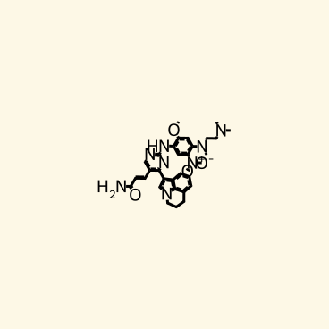 COc1cc(N(C)CCN(C)C)c([N+](=O)[O-])cc1Nc1ncc(C=CC(N)=O)c(-c2cn3c4c(cccc24)CCC3)n1